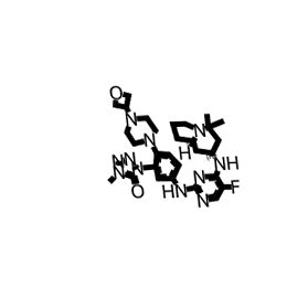 Cn1nnn(-c2cc(Nc3ncc(F)c(N[C@@H]4C[C@@H]5CCCN5C(C)(C)C4)n3)ccc2N2CCN(C3COC3)CC2)c1=O